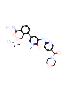 Cn1cc(-c2cccc(C(N)=O)c2CO[Si](C)(C)C(C)(C)C)cc(Nc2ccc(C(=O)N3CCOCC3)cn2)c1=O